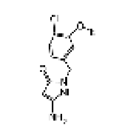 CCOc1cc(Cn2[nH]c(N)cc2=O)ccc1Cl